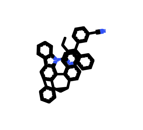 CCc1c(-n2c3ccccc3c3cc4c5c(c32)-c2c(ccc3ccccc23)C(CC5)c2ccccc2-4)nc2ccccc2c1-c1cccc(C#N)c1